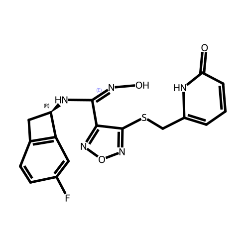 O=c1cccc(CSc2nonc2/C(=N\O)N[C@@H]2Cc3ccc(F)cc32)[nH]1